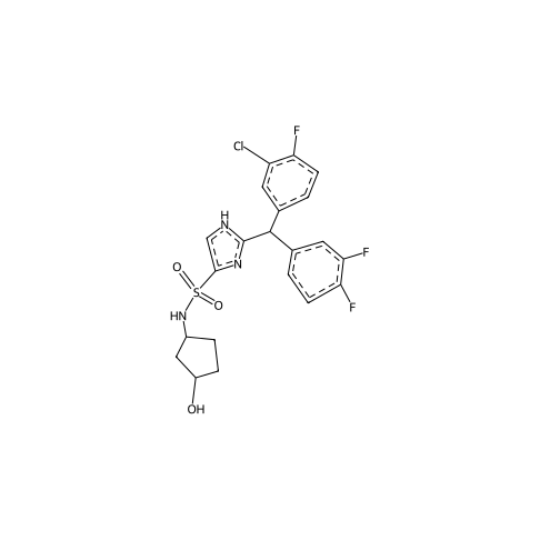 O=S(=O)(NC1CCC(O)C1)c1c[nH]c(C(c2ccc(F)c(F)c2)c2ccc(F)c(Cl)c2)n1